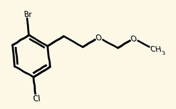 COCOCCc1cc(Cl)ccc1Br